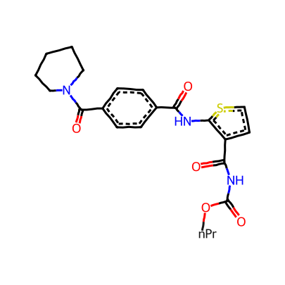 CCCOC(=O)NC(=O)c1ccsc1NC(=O)c1ccc(C(=O)N2CCCCC2)cc1